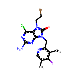 Cc1cnc(Cn2c(=O)n(CCBr)c3c(Cl)nc(N)nc32)c(C)c1I